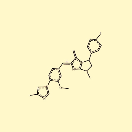 C=c1/c(=C/c2ccc(-n3cnc(C)c3)c(OC)c2)nc2n1C(c1ccc(F)cc1)CN2C